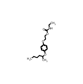 CCCCC(C)Oc1ccc(OCCOC(=O)NCC)cc1